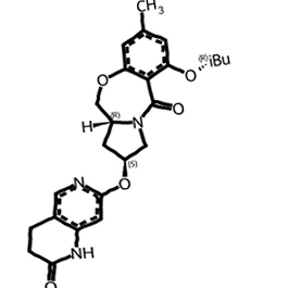 CC[C@@H](C)Oc1cc(C)cc2c1C(=O)N1C[C@@H](Oc3cc4c(cn3)CCC(=O)N4)C[C@@H]1CO2